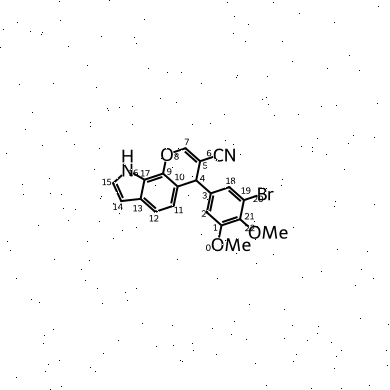 COc1cc(C2C(C#N)=COc3c2ccc2cc[nH]c32)cc(Br)c1OC